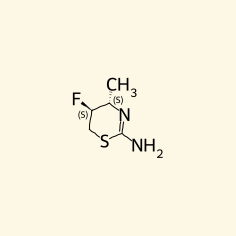 C[C@@H]1N=C(N)SC[C@H]1F